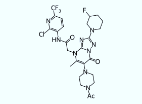 CC(=O)N1CCN(c2c(C)n(CC(=O)Nc3ccc(C(F)(F)F)nc3Cl)c3nc(N4CCCC(F)C4)nn3c2=O)CC1